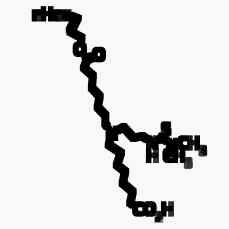 CCCCCCC=CCOC(=O)CCCCCCCN(CCCCCCCC(=O)O)CCCNC(=S)N(C)C